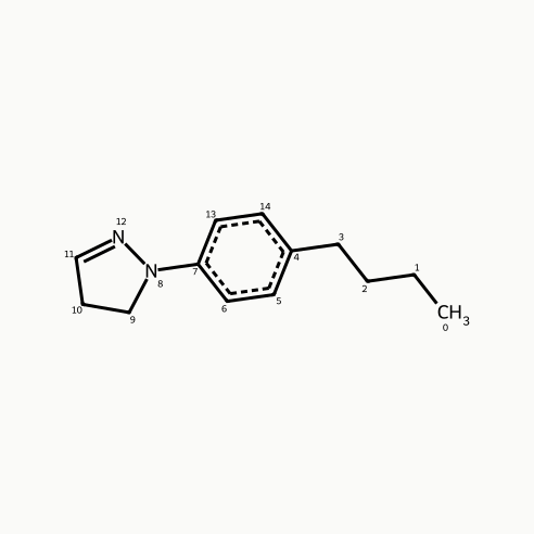 CCCCc1ccc(N2CCC=N2)cc1